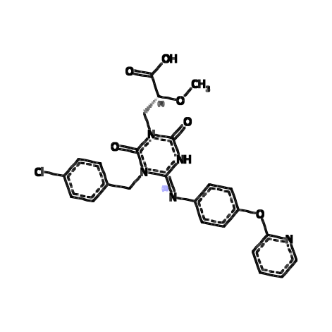 CO[C@H](Cn1c(=O)[nH]/c(=N\c2ccc(Oc3ccccn3)cc2)n(Cc2ccc(Cl)cc2)c1=O)C(=O)O